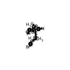 CCN1CC2=C(C1=O)[C@@H](c1ccc(C#N)cc1)N(CCCCC[N+](C)(C)CCCOc1ccc(Br)cc1)C(=O)N2c1cccc(C(F)(F)F)c1